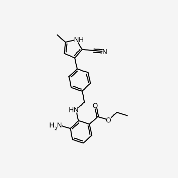 CCOC(=O)c1cccc(N)c1NCc1ccc(-c2cc(C)[nH]c2C#N)cc1